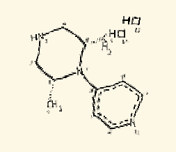 C[C@@H]1CNC[C@H](C)N1c1ccncc1.Cl.Cl